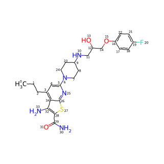 CCCc1cc(N2CCC(NCC(O)COc3ccc(F)cc3)CC2)nc2sc(C(N)=O)c(N)c12